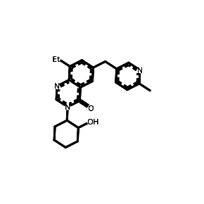 CCc1cc(Cc2ccc(C)nc2)cc2c(=O)n(C3CCCCC3O)cnc12